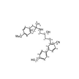 COc1ccc(CC(C)(C)NC[C@H](O)COc2cc(-c3ccc(C(=O)O)cc3)ccc2C#N)cc1